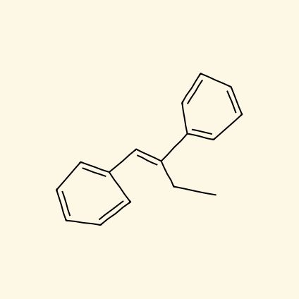 CC/C(=C\c1ccccc1)c1ccccc1